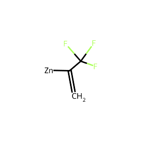 C=[C]([Zn])C(F)(F)F